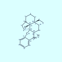 CC[C@@]12CCCN3CC[C@]4(Cc5ccccc5N[C@@H]4CC1)[C@H]32